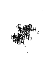 CC(C)(C)[C@H](NC(=O)NC1(CS(C)(=O)=O)CCCCC1)C(=O)N1CC2C(C1C(=O)NC(CC1CC1)C(=O)C(N)=O)C21CC1